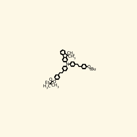 CCC(C)(C)C(=O)Oc1ccc(CCc2ccc(N(c3ccc(CCc4ccc(OC(C)(C)C)cc4)cc3)c3ccc4c(c3)C(C)(C)c3ccccc3-4)cc2)cc1